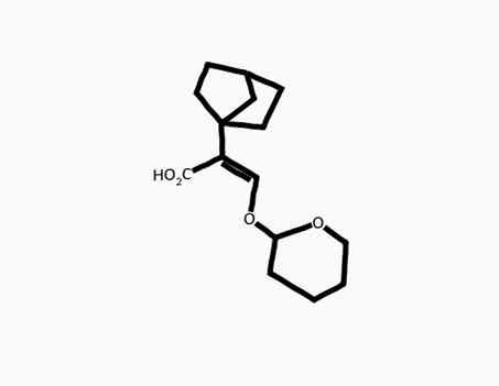 O=C(O)C(=COC1CCCCO1)C12CCC(CC1)C2